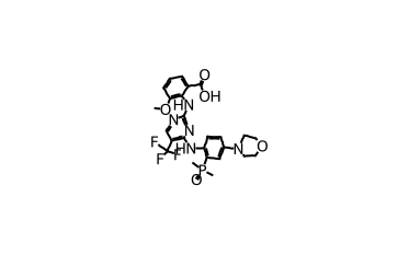 COc1cccc(C(=O)O)c1Nc1ncc(C(F)(F)F)c(Nc2ccc(N3CCOCC3)cc2P(C)(C)=O)n1